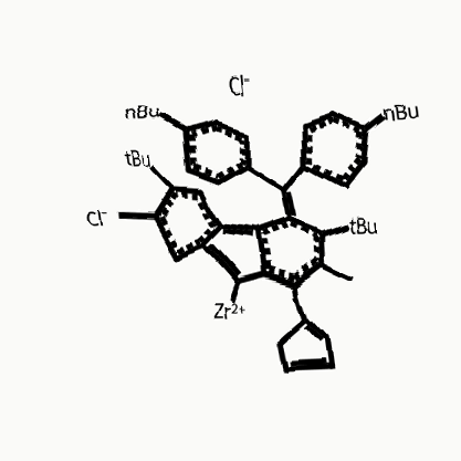 CCCCc1ccc(C(c2ccc(CCCC)cc2)=c2c(C(C)(C)C)c(C)c(C3=CC=CC3)c3c2=c2cc(C(C)(C)C)c(C)cc2=[C]3[Zr+2])cc1.[Cl-].[Cl-]